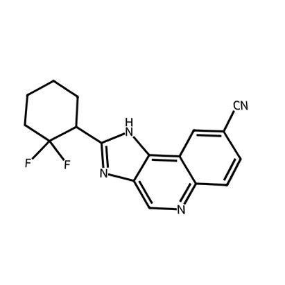 N#Cc1ccc2ncc3nc(C4CCCCC4(F)F)[nH]c3c2c1